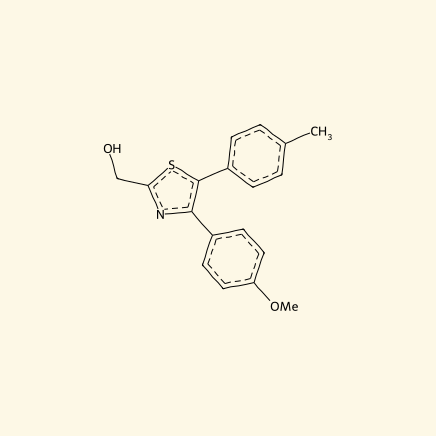 COc1ccc(-c2nc(CO)sc2-c2ccc(C)cc2)cc1